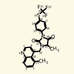 Cc1cccc2nccc(CN3C(=O)N(c4ccc(SC(F)(F)F)cc4)C(=O)C3C)c12